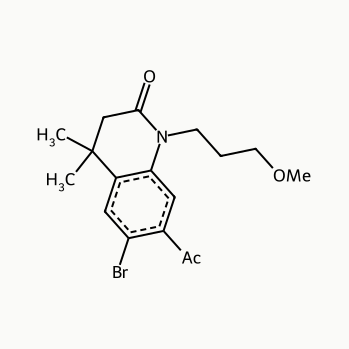 COCCCN1C(=O)CC(C)(C)c2cc(Br)c(C(C)=O)cc21